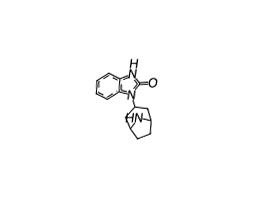 O=c1[nH]c2ccccc2n1C1CC2CCC(C1)N2